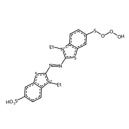 CC[n+]1c(N=Nc2sc3cc(S(=O)(=O)O)ccc3[n+]2CC)sc2cc(SOOO)ccc21